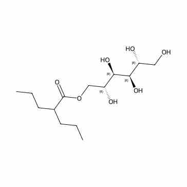 CCCC(CCC)C(=O)OC[C@@H](O)[C@@H](O)[C@H](O)[C@H](O)CO